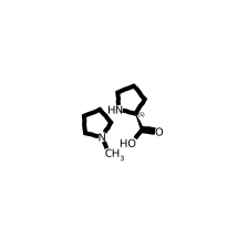 CN1CCCC1.O=C(O)[C@@H]1CCCN1